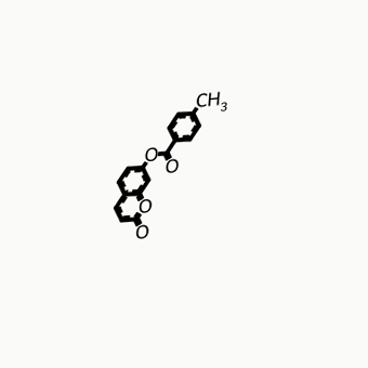 Cc1ccc(C(=O)Oc2ccc3ccc(=O)oc3c2)cc1